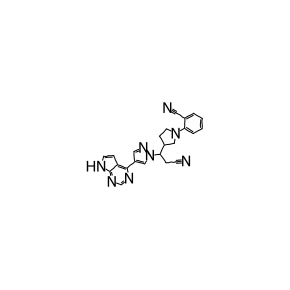 N#CCC(C1CCN(c2ccccc2C#N)C1)n1cc(-c2ncnc3[nH]ccc23)cn1